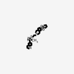 Cn1c(SCCCN2CCc3ccc(S(=O)(=O)N4CCCC4)cc3CC2)nnc1-c1ccc2ncccc2c1